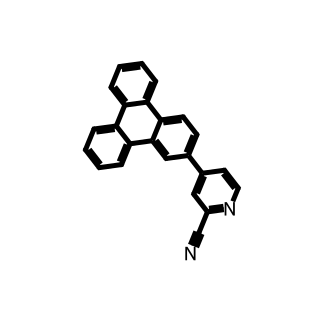 N#Cc1cc(-c2ccc3c4ccccc4c4ccccc4c3c2)ccn1